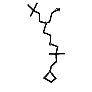 CC(C)(C)CCN(CCO)CCOCC(C)(C)CCN1CCC1